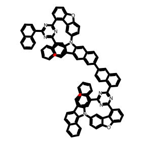 c1ccc(-c2nc(-c3cccc4ccccc34)nc(-c3cccc4oc5ccc(-n6c7cc8ccccc8cc7c7cc8cc(-c9ccc%10c(-c%11nc(-c%12ccccc%12)nc(-c%12cccc%13oc%14ccc(-n%15c%16cc%17ccccc%17cc%16c%16ccc%17ccccc%17c%16%15)cc%14c%12%13)n%11)cccc%10c9)ccc8cc76)cc5c34)n2)cc1